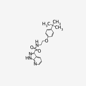 CC(C)(C)c1ccc(OCCNS(=O)(=O)c2n[nH]c3ncccc23)cc1